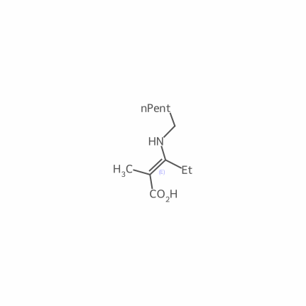 CCCCCCN/C(CC)=C(\C)C(=O)O